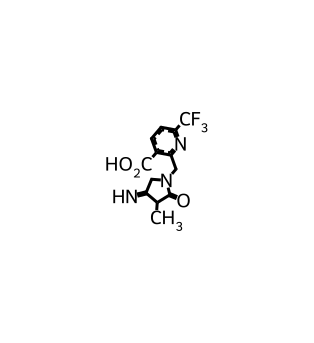 CC1C(=N)CN(Cc2nc(C(F)(F)F)ccc2C(=O)O)C1=O